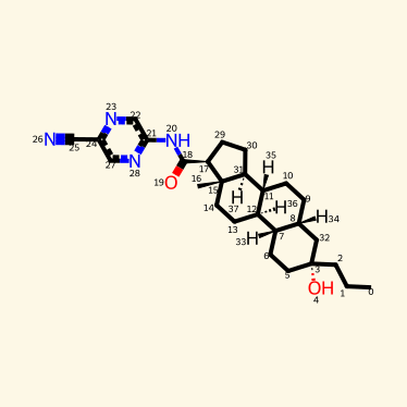 CCC[C@@]1(O)CC[C@H]2[C@H](CC[C@@H]3[C@@H]2CC[C@]2(C)[C@@H](C(=O)Nc4cnc(C#N)cn4)CC[C@@H]32)C1